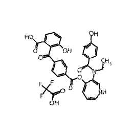 CCN(C(=O)c1ccc(O)cc1)C1=CNC=CC=C1OC(=O)c1ccc(C(=O)c2c(O)cccc2C(=O)O)cc1.O=C(O)C(F)(F)F